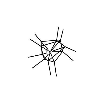 C[C]12[C]3(C)[C]4(C)[C]5(C)[C]1(C)[Fe]23451678[C]2(C)[C]1(C)[C]6(C)[C]7(C)[C]28C